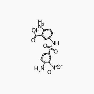 Nc1ccc(NS(=O)(=O)c2ccc(N)c([N+](=O)[O-])c2)cc1C(=O)O